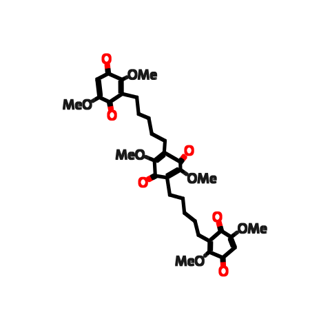 COC1=CC(=O)C(OC)=C(CCCCCC2=C(OC)C(=O)C(CCCCCC3=C(OC)C(=O)C=C(OC)C3=O)=C(OC)C2=O)C1=O